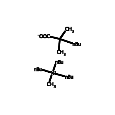 CCCCC(C)(C)C(=O)[O-].CCCC[N+](C)(CCCC)CCCC